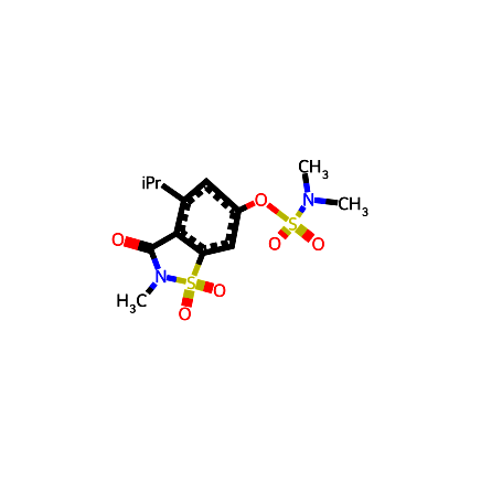 CC(C)c1cc(OS(=O)(=O)N(C)C)cc2c1C(=O)N(C)S2(=O)=O